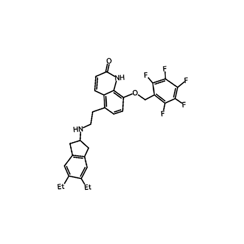 CCc1cc2c(cc1CC)CC(NCCc1ccc(OCc3c(F)c(F)c(F)c(F)c3F)c3[nH]c(=O)ccc13)C2